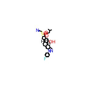 CC(C)CC(=O)O[C@]1(C(=O)SCC#N)CC[C@H]2[C@@H]3CCC4=Cc5c(cnn5-c5ccc(F)cc5)C[C@]4(C)[C@H]3[C@@H](O)C[C@@]21C